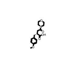 COc1ccc(C[C@H](CC(=O)N2CCOCC2)C(=O)O)cc1